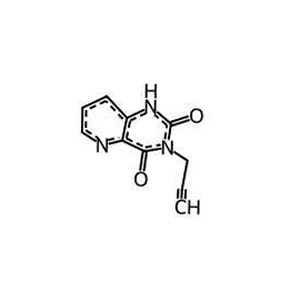 C#CCn1c(=O)[nH]c2cccnc2c1=O